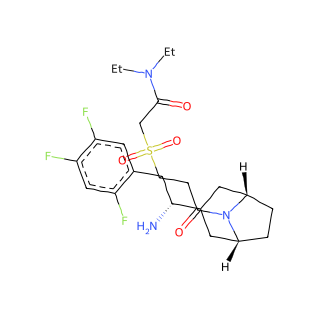 CCN(CC)C(=O)CS(=O)(=O)CCC(=O)N1[C@@H]2CC[C@H]1CC([C@H](N)Cc1cc(F)c(F)cc1F)C2